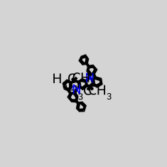 CC1(C)c2cc3c(cc2-n2c4cc(-c5ccccc5)ccc4c4cccc1c42)C(C)(C)c1cccc2c4ccc(-c5ccccc5)cc4n-3c12